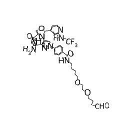 NC(=O)C1=COC(c2ccnc(NCC(F)(F)F)c2)N1c1cn(-c2ccc(C(=O)NCCCCCOCCOCCCC=O)cc2)nc1C(N)=O